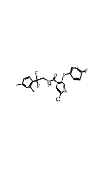 Cc1ccc(C(F)(F)CNC(=O)c2cc(Cl)ncc2Sc2ccc(F)cc2)c(C)c1